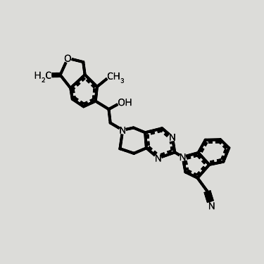 C=C1OCc2c1ccc(C(O)CN1CCc3nc(-n4cc(C#N)c5ccccc54)ncc3C1)c2C